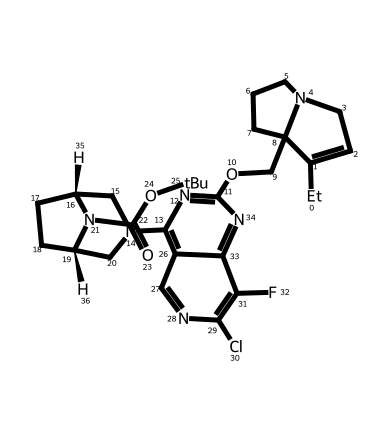 CCC1=CCN2CCCC12COc1nc(N2C[C@H]3CC[C@@H](C2)N3C(=O)OC(C)(C)C)c2cnc(Cl)c(F)c2n1